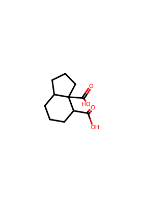 O=C(O)C1CCCC2CCCC21C(=O)O